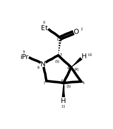 CCC(=O)[C@@H]1[C@@H]2C[C@@H]2CN1C(C)C